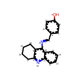 Oc1ccc(/C=N/c2c3c(nc4ccccc24)CCCC3)cc1